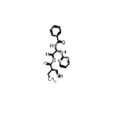 CCC(C=N)C(=O)OC(=O)C(NC(=O)c1ccccc1)Nc1ncccn1